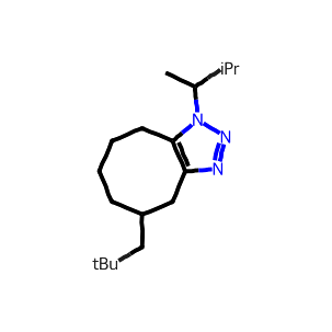 CC(C)C(C)n1nnc2c1CCCCC(CC(C)(C)C)C2